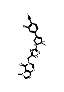 C[C@@H]1C=C(c2ccc(C#N)c(F)c2)C[C@@H]1c1noc(Cn2cnc3ncn(C)c3c2=O)n1